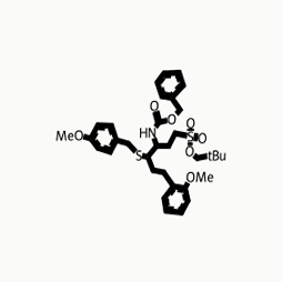 COc1ccc(CSC(CCc2ccccc2OC)C(CCS(=O)(=O)OCC(C)(C)C)NC(=O)OCc2ccccc2)cc1